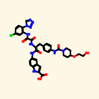 O=C(Nc1cc(Cl)ccc1-n1cnnn1)C(=O)N[C@@H](Cc1ccc(NC(=O)N2CCC(OCCO)CC2)cc1)C(=O)Nc1ccc2[nH]c(C(=O)O)cc2c1